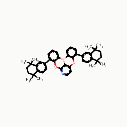 CC1(C)CCC(C)(C)c2cc(-c3cccc4c3Oc3ccnc5c3B4c3cccc(-c4ccc6c(c4)C(C)(C)CCC6(C)C)c3O5)ccc21